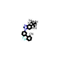 [2H]C([2H])([2H])C(c1ccc2c(c1)ncn2-c1ccc(F)c(-c2c(F)cccc2C#N)c1)(C([2H])([2H])[2H])C([2H])([2H])[2H]